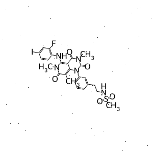 Cc1c(=O)n(C)c(Nc2ccc(I)cc2F)c2c(=O)n(C)c(=O)n(-c3cccc(CCNS(C)(=O)=O)c3)c12